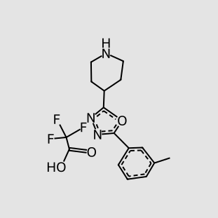 Cc1cccc(-c2nnc(C3CCNCC3)o2)c1.O=C(O)C(F)(F)F